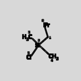 CC(C)C[Si](C)(C)Cl